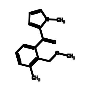 COCc1c(C)cccc1C(=O)c1cccn1C